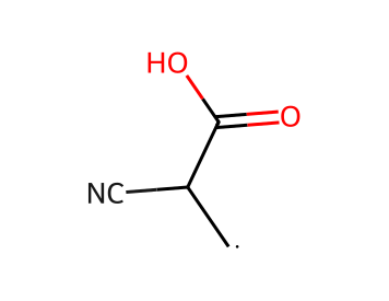 [CH2]C(C#N)C(=O)O